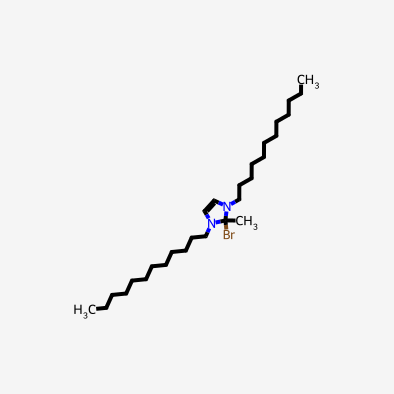 CCCCCCCCCCCCN1C=CN(CCCCCCCCCCCC)C1(C)Br